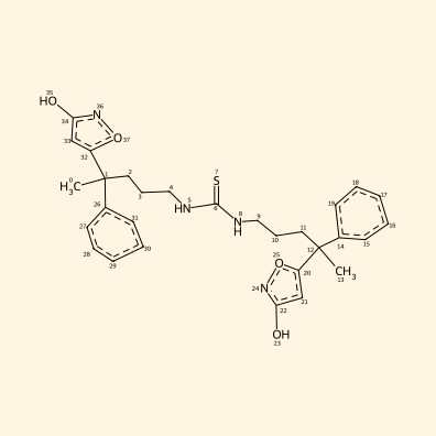 CC(CCCNC(=S)NCCCC(C)(c1ccccc1)c1cc(O)no1)(c1ccccc1)c1cc(O)no1